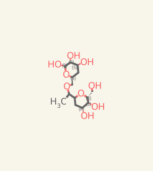 CC(OC[C@@H]1C[C@H](O)[C@@H](O)[C@H](O)O1)C1C[C@@H](O)[C@H](O)[C@@H](CO)O1